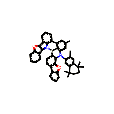 Cc1cc2c3c(c1)N(c1cc4c(cc1C)C(C)(C)CCC4(C)C)c1c(ccc4c1oc1ccccc14)B3n1c3c-2cccc3c2oc3ccccc3c21